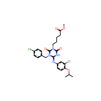 COC(=O)CCCCn1c(=O)[nH]/c(=N\c2ccc(OC(C)C)c(Cl)c2)n(Cc2ccc(Cl)cc2)c1=O